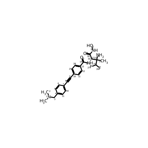 CN(C)Cc1ccc(C#Cc2ccc(C(=O)N[C@H](C(=O)NO)C(C)(N)C(F)F)cc2)cc1